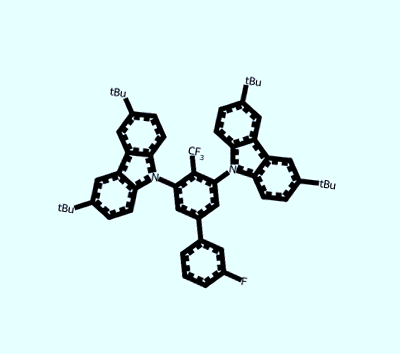 CC(C)(C)c1ccc2c(c1)c1cc(C(C)(C)C)ccc1n2-c1cc(-c2cccc(F)c2)cc(-n2c3ccc(C(C)(C)C)cc3c3cc(C(C)(C)C)ccc32)c1C(F)(F)F